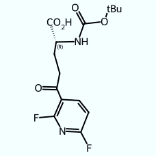 CC(C)(C)OC(=O)N[C@H](CCC(=O)c1ccc(F)nc1F)C(=O)O